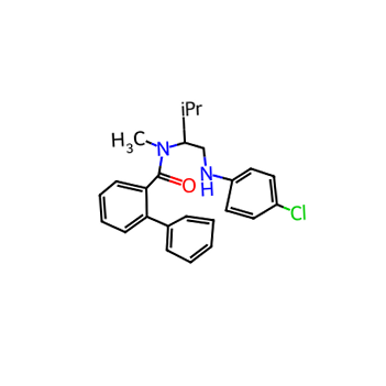 CC(C)C(CNc1ccc(Cl)cc1)N(C)C(=O)c1ccccc1-c1ccccc1